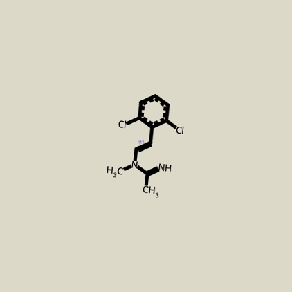 CC(=N)N(C)/C=C/c1c(Cl)cccc1Cl